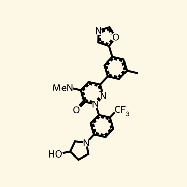 CNc1cc(-c2cc(C)cc(-c3cnco3)c2)nn(-c2cc(N3CCC(O)C3)ccc2C(F)(F)F)c1=O